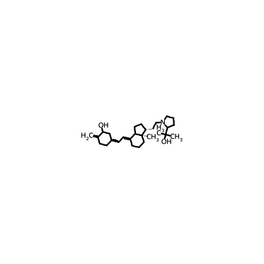 C=C1CC/C(=C/C=C2\CCC[C@@]3(C)C2CC[C@@H]3CCN2CCCC2C(C)(C)O)CC1O